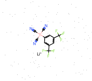 N#C[B-](C#N)(C#N)c1cc(C(F)(F)F)cc(C(F)(F)F)c1.[Li+]